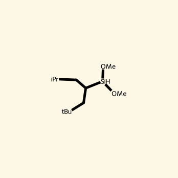 CO[SiH](OC)C(CC(C)C)CC(C)(C)C